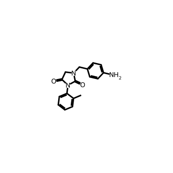 Cc1ccccc1N1C(=O)CN(Cc2ccc(N)cc2)C1=O